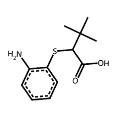 CC(C)(C)C(Sc1ccccc1N)C(=O)O